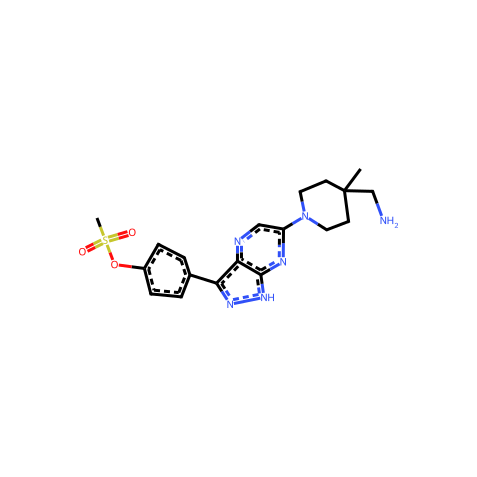 CC1(CN)CCN(c2cnc3c(-c4ccc(OS(C)(=O)=O)cc4)n[nH]c3n2)CC1